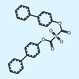 O=C(Oc1ccc(-c2ccccc2)cc1)S(=O)(=O)C(=O)Oc1ccc(-c2ccccc2)cc1